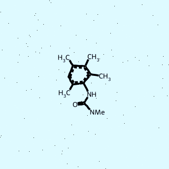 CNC(=O)Nc1c(C)cc(C)c(C)c1C